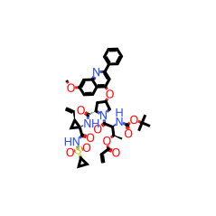 C=CC(=O)O[C@H](C)[C@H](NC(=O)OC(C)(C)C)C(=O)N1CC(Oc2cc(-c3ccccc3)nc3cc(OC)ccc23)C[C@H]1C(=O)N[C@]1(C(=O)NS(=O)(=O)C2CC2)C[C@H]1C=C